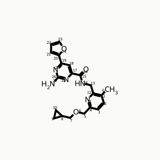 Cc1ccc(COCC2CC2)nc1CNC(=O)c1cc(-c2ccco2)nc(N)n1